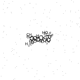 COc1cc2c(c(OC)c1)[C@@]1(C)CC[C@@H]3C(C)(C)[C@H](OC(=O)[C@](CO)(c4ccccc4)C(F)(F)F)CC[C@@]3(C)[C@@H]1C2